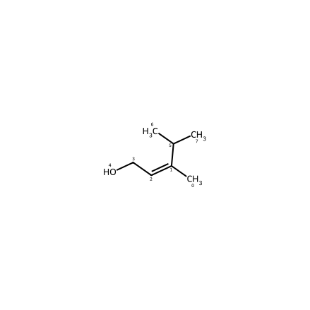 CC(=CCO)C(C)C